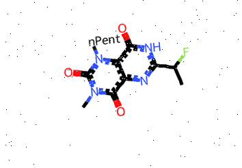 CCCCCn1c(=O)n(C)c(=O)c2nc(C(C)F)[nH]c(=O)c21